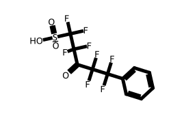 O=C(C(F)(F)C(F)(F)c1ccccc1)C(F)(F)C(F)(F)S(=O)(=O)O